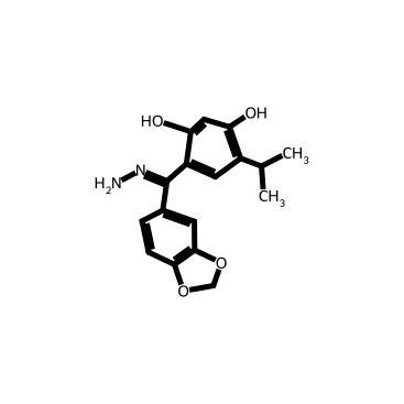 CC(C)c1cc(/C(=N/N)c2ccc3c(c2)OCO3)c(O)cc1O